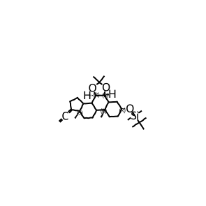 C=C=C1CCC2C3C(CC[C@]12C)[C@@]1(C)CC[C@@H](O[Si](C)(C)C(C)(C)C)CC1[C@H]1OC(C)(C)O[C@H]31